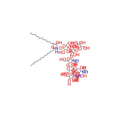 CCCCCCCCCCCCC/C=C/[C@@H](O)[C@H](CO[C@@H]1OC(CO)[C@@H](O[C@@H]2OC(CO[C@@H]3OC(CO)[C@@H](O[C@@H]4OC(CO)[C@H](O[C@@H]5OC(CO)[C@H](O)[C@H](O)C5NC(C)=O)[C@H](O[C@]5(C(=O)O)CC(O)[C@@H](NC(C)=O)C([C@H](O)[C@H](O)CO)O5)C4O)[C@H](O)C3NC(C)=O)[C@H](O)[C@H](O[C@H]3OC(CO)[C@H](O)[C@H](O)C3O)C2O)[C@H](O)C1O)NC(=O)CCCCCCCCCCCCCCC